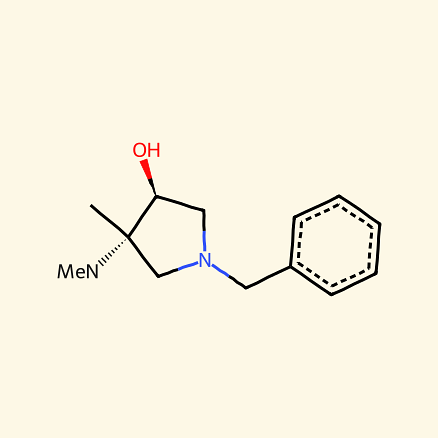 CN[C@@]1(C)CN(Cc2ccccc2)C[C@@H]1O